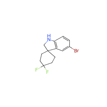 FC1(F)CCC2(CC1)CNc1ccc(Br)cc12